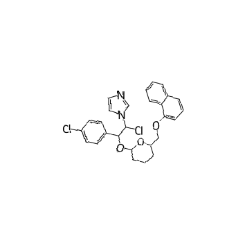 Clc1ccc(C(OC2CCCC(COc3cccc4ccccc34)O2)C(Cl)n2ccnc2)cc1